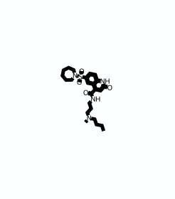 CCCCN(C)CCCNC(=O)c1cc(=O)[nH]c2ccc(S(=O)(=O)N3CCCCCC3)cc12